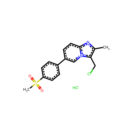 Cc1nc2ccc(-c3ccc(S(C)(=O)=O)cc3)cn2c1CCl.Cl